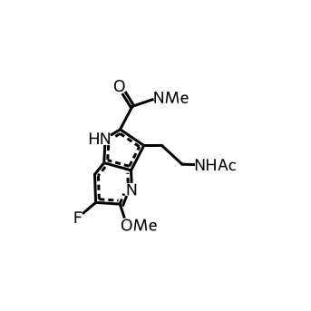 CNC(=O)c1[nH]c2cc(F)c(OC)nc2c1CCNC(C)=O